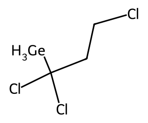 ClCC[C](Cl)(Cl)[GeH3]